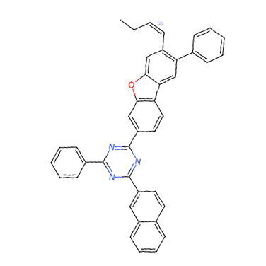 CC/C=C\c1cc2oc3cc(-c4nc(-c5ccccc5)nc(-c5ccc6ccccc6c5)n4)ccc3c2cc1-c1ccccc1